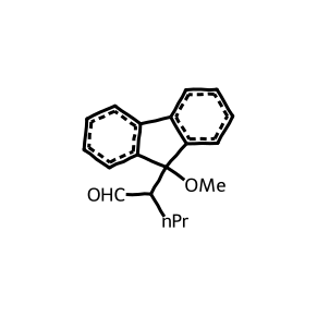 CCCC(C=O)C1(OC)c2ccccc2-c2ccccc21